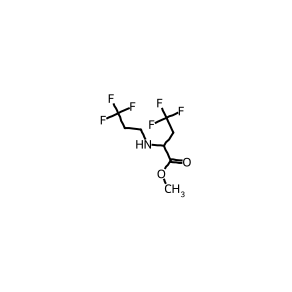 COC(=O)C(CC(F)(F)F)NCCC(F)(F)F